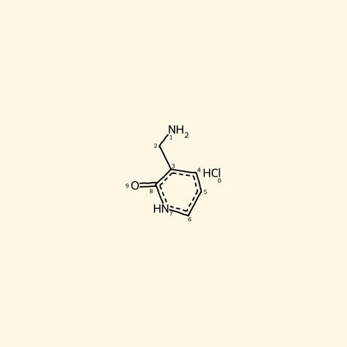 Cl.NCc1ccc[nH]c1=O